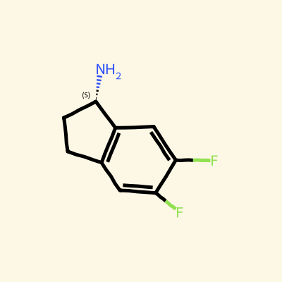 N[C@H]1CCc2cc(F)c(F)cc21